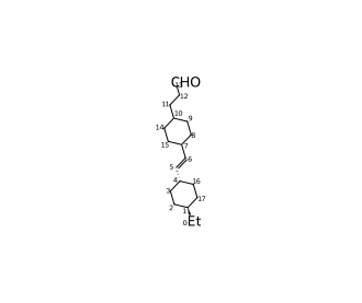 CC[C@H]1CC[C@H](/C=C/C2CCC(CCC=O)CC2)CC1